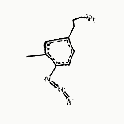 Cc1cc(CC(C)C)ccc1N=[N+]=[N-]